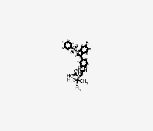 CC(C)(C)N(Cc1nc2ccc(-c3cn(S(=O)(=O)c4ccccc4)c4cc(F)ccc34)cc2[nH]1)C(=O)O